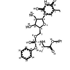 Cc1cn([C@H]2O[C@@H](CO[P@@](=O)(N[C@@H](C)C(=O)OC(C)C)Oc3ccccc3)C(O)[C@H]2C#N)c(=O)[nH]c1=O